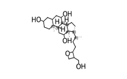 C[C@H](CCC1OCC1CO)[C@H]1CC[C@H]2[C@@H]3C(O)CC4CC(O)CC[C@]4(C)[C@H]3CC(O)[C@]12C